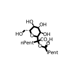 CCCCCC(OC(=O)C(C)CCC)(C(=O)O)C1O[C@H](CO)[C@@H](O)[C@H](O)[C@H]1O